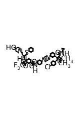 Cc1c(C(=O)NC2CC2)c(-c2cccc(N3CCN(c4ccc(NS(=O)(=O)c5ccc(NC(CCN6CCC(O)CC6)CSc6ccccc6)c(S(=O)(=O)C(F)(F)F)c5)cc4)CC3)c2)c(-c2ccc(Cl)cc2)n1C